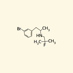 CC(Cc1cccc(Br)c1)NCC(C)(C)F